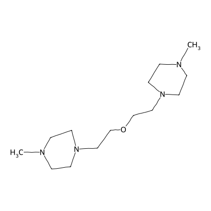 CN1CCN(CCOCCN2CCN(C)CC2)CC1